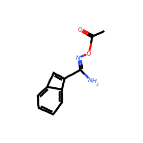 CC(=O)ON=C(N)C1=Cc2ccccc21